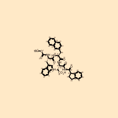 CC(C)(C)OC(=O)N[C@@H](Cc1c[nH]c2ccccc12)C(=O)N[C@@H](Cc1ccc2ccccc2c1)C(=O)N[C@@H](CC(=O)O)C(=O)NC(=O)C1CCc2ccccc21